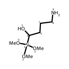 CO[Si](OC)(OC)C(O)CCCN